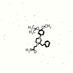 COc1ccc(N2CCN(CCC(N)=O)C(Cc3ccccc3)C2)cc1OC(C)C